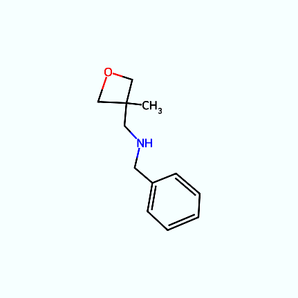 CC1(CNCc2ccccc2)COC1